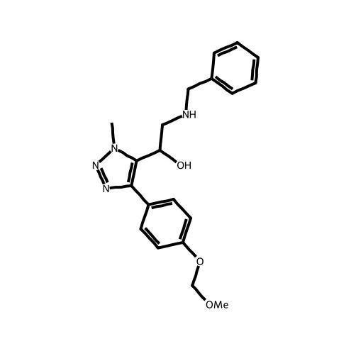 COCOc1ccc(-c2nnn(C)c2C(O)CNCc2ccccc2)cc1